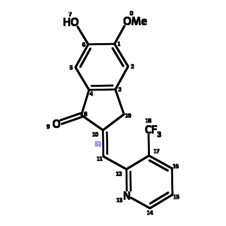 COc1cc2c(cc1O)C(=O)/C(=C/c1ncccc1C(F)(F)F)C2